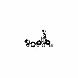 COCCOCOc1ccc(Br)cc1C(=O)Nc1ccc(N2CCCN(C(=O)OC(C)(C)C)CC2)c(F)c1